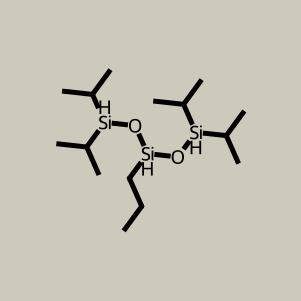 CCC[SiH](O[SiH](C(C)C)C(C)C)O[SiH](C(C)C)C(C)C